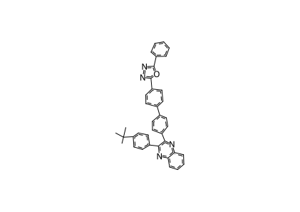 CC(C)(C)c1ccc(-c2nc3ccccc3nc2-c2ccc(-c3ccc(-c4nnc(-c5ccccc5)o4)cc3)cc2)cc1